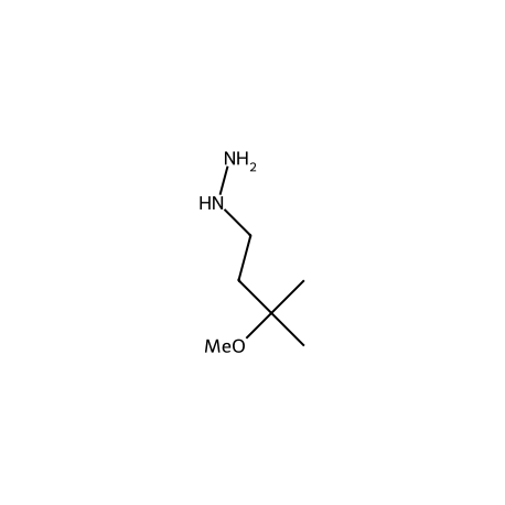 COC(C)(C)CCNN